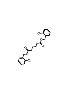 O=C(CCCCC(=O)OCc1ccccc1Cl)OCc1ccccc1Cl